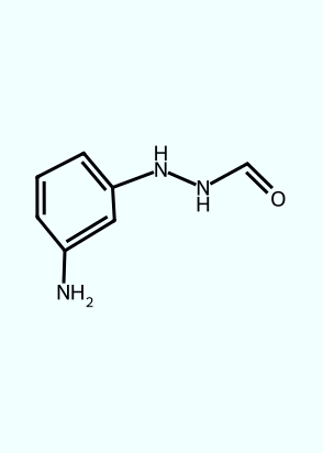 Nc1cccc(NNC=O)c1